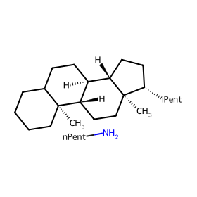 CCCC(C)[C@H]1CC[C@H]2[C@@H]3CCC4CCCC[C@]4(C)[C@H]3CC[C@]12C.CCCCCN